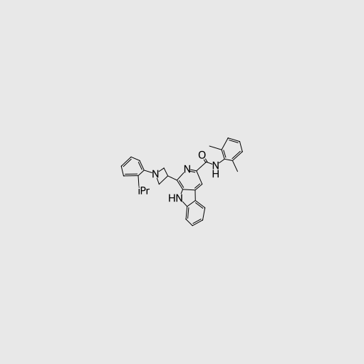 Cc1cccc(C)c1NC(=O)c1cc2c([nH]c3ccccc32)c(C2CN(c3ccccc3C(C)C)C2)n1